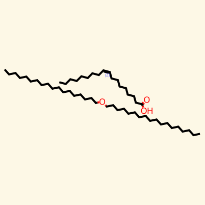 CCCCCCCC/C=C\CCCCCCCC(=O)O.CCCCCCCCCCCCCCCCCCOCCCCCCCCCCCCCCCCCC